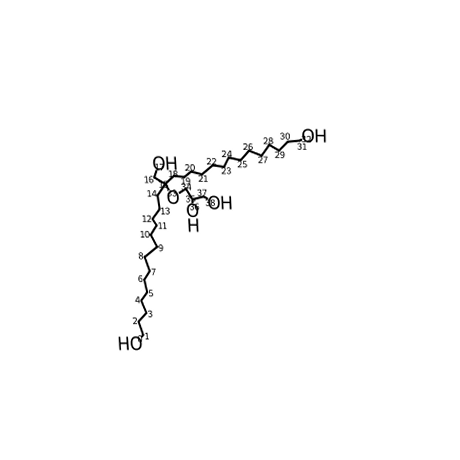 OCCCCCCCCCCCCCCC(CO)(CCCCCCCCCCCCCCO)OCC(O)CO